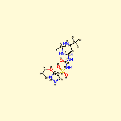 CC(C)(C)N/C(=C\C(=N)C(C)(C)C)NC(=O)NS(=O)(=O)c1cnn2c1OCCC2